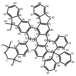 CC1(C)CCC(C)(C)c2cc(N3B4c5cccc6c5N(c5ccccc5C6(c5ccccc5)c5ccccc5)c5cc6sc7ccccc7c6c(c54)-c4cc5c(cc43)C(C)(C)c3ccccc3-5)ccc21